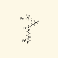 C/C=C(/C/C=C/C=C(/CC)C/C=C/CCC(CF)CC(C)C)CCCCC(C)(C)CCCCC